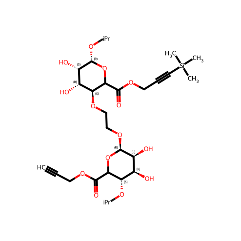 C#CCOC(=O)C1O[C@@H](OCCO[C@@H]2C(C(=O)OCC#C[Si](C)(C)C)O[C@@H](OC(C)C)[C@@H](O)[C@H]2O)[C@@H](O)[C@@H](O)[C@@H]1OC(C)C